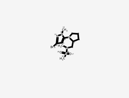 CN(CC1CCCN1c1cc(Br)nn1C)S(C)(=O)=O